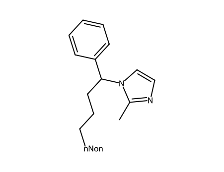 CCCCCCCCCCCCC(c1ccccc1)n1ccnc1C